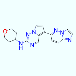 c1cn2nc(-c3ccn4nc(NC5CCOCC5)ncc34)ccc2n1